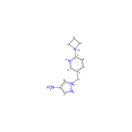 Nc1cnn(Cc2ccc(N3CCC3)nc2)c1